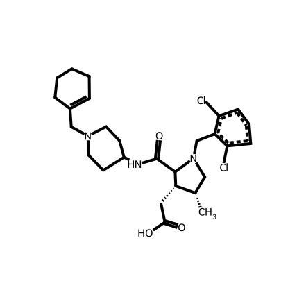 C[C@H]1CN(Cc2c(Cl)cccc2Cl)C(C(=O)NC2CCN(CC3=CCCCC3)CC2)[C@H]1CC(=O)O